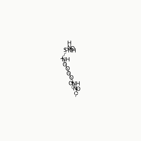 C=C(CCCC[C@@H]1SCC2NC(=O)NC21)NCCOCCOCCOCCOCCC(=O)NC1CCCN(C(=O)c2ccc(C)cc2)C1